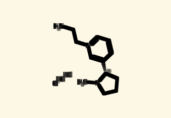 CN1CCC[C@H]1c1ccc[n+](CCN)c1.Cl.Cl.[Cl-]